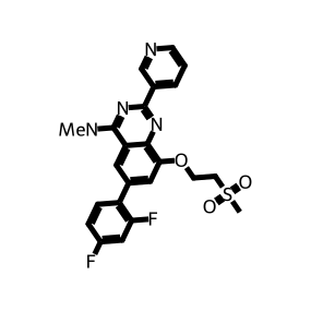 CNc1nc(-c2cccnc2)nc2c(OCCS(C)(=O)=O)cc(-c3ccc(F)cc3F)cc12